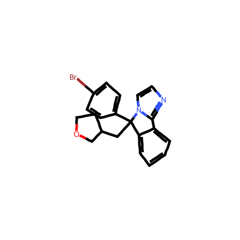 Brc1ccc(C2(CC3CCOC3)c3ccccc3-c3nccn32)cc1